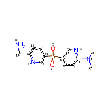 CN(C)c1ccc(S(=O)(=O)c2ccc(CN)nc2)cn1